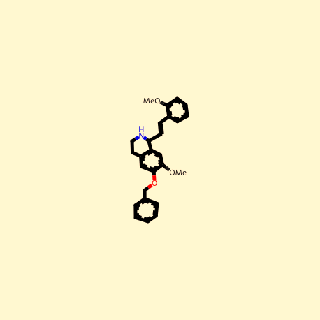 COc1ccccc1/C=C/C1NCCc2cc(OCc3ccccc3)c(OC)cc21